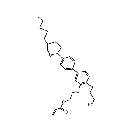 C=CC(=O)OCCOc1cc(-c2ccc(C3CCC(CCCCC)CO3)cc2)ccc1CCCO